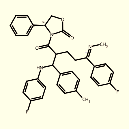 C/N=C(/CCC(C(=O)N1C(=O)OC[C@@H]1c1ccccc1)C(Nc1ccc(F)cc1)c1ccc(C)cc1)c1ccc(F)cc1